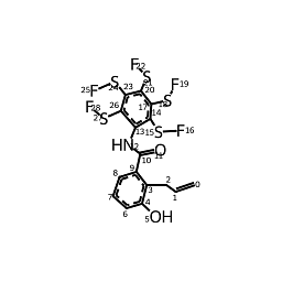 C=CCc1c(O)cccc1C(=O)Nc1c(SF)c(SF)c(SF)c(SF)c1SF